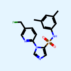 Cc1cc(C)cc(NS(=O)(=O)c2cncn2-c2ccc(CF)cn2)c1